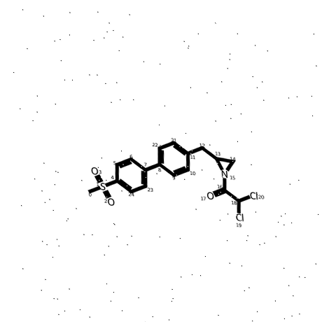 CS(=O)(=O)c1ccc(-c2ccc(CC3CN3C(=O)C(Cl)Cl)cc2)cc1